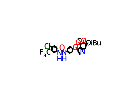 CC(C)COc1cc2nccc(Oc3ccc(NC(=O)Nc4ccc(Cl)c(C(F)(F)F)c4)cc3)c2c2c1OCCO2